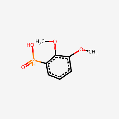 COc1cccc([PH](=O)O)c1OC